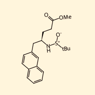 COC(=O)CC[C@H](Cc1ccc2ccccc2c1)N[S+]([O-])C(C)(C)C